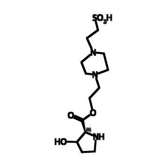 O=C(OCCN1CCN(CCS(=O)(=O)O)CC1)[C@H]1NCCC1O